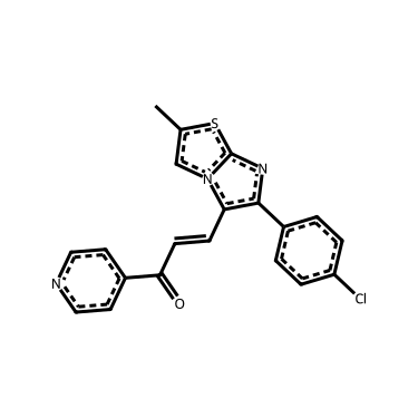 Cc1cn2c(C=CC(=O)c3ccncc3)c(-c3ccc(Cl)cc3)nc2s1